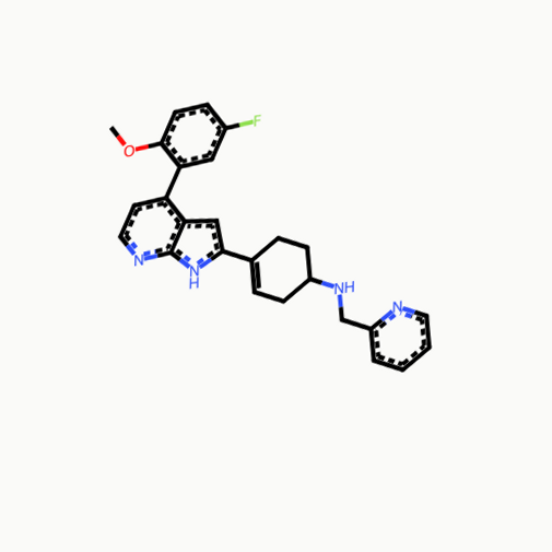 COc1ccc(F)cc1-c1ccnc2[nH]c(C3=CCC(NCc4ccccn4)CC3)cc12